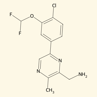 Cc1ncc(-c2ccc(Cl)c(OC(F)F)c2)nc1CN